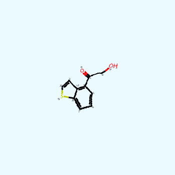 O=C(CO)c1cccc2sccc12